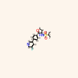 CC(C)S(=O)(=O)N[C@H]1CCO[C@H]1c1ccc(-c2cncc(F)c2)cc1